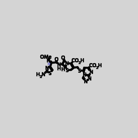 CO/N=C(\C(=O)N[C@@H]1C(=O)N2C(C(=O)O)=C(CSc3cc(C(=O)O)nc4nncn34)CS[C@H]12)c1csc(N)n1